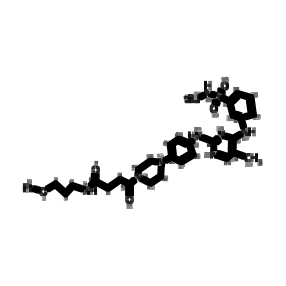 CCOCCCNC(=O)CCC(=O)N1CCN(c2ccc(Nc3ncc(C)c(Nc4cccc(S(=O)(=O)NC(C)(C)C)c4)n3)cc2)CC1